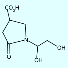 O=C(O)C1CC(=O)N(C(O)CO)C1